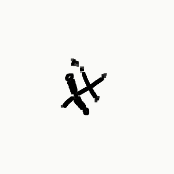 [CH2]S(=O)(=O)C(F)(F)F.[Zn]